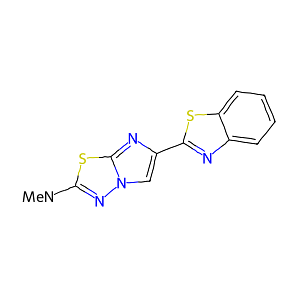 CNc1nn2cc(-c3nc4ccccc4s3)nc2s1